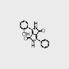 O=C1NC(c2ccccc2O)=C2C(=O)NC(c3ccccc3)=C12